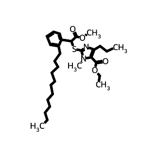 CCCCCCCCCCCCc1ccccc1C(Sc1nc(CCC)c(C(=O)OCC)n1C)C(=O)OC